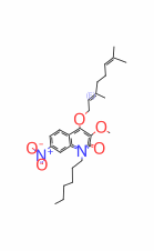 CCCCCCn1c(=O)c(OC)c(OC/C=C(\C)CCC=C(C)C)c2ccc([N+](=O)[O-])cc21